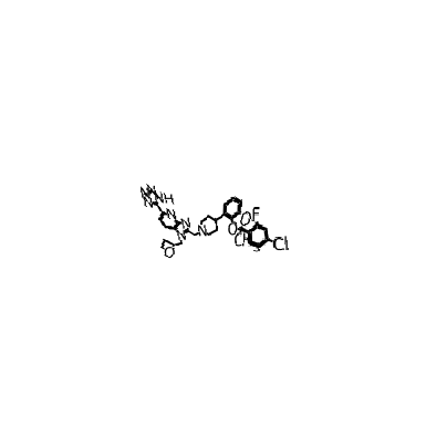 CC1(c2ccc(Cl)cc2F)Oc2cccc(C3CCN(Cc4nc5nc(-c6nnn[nH]6)ccc5n4CC4CCO4)CC3)c2O1